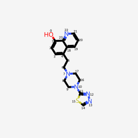 Oc1ccc(CCN2CCN(c3nncs3)CC2)c2cccnc12